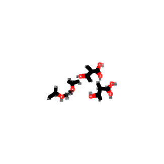 CC(=O)C(C)C(=O)[O-].CC(=O)C(C)C(=O)[O-].CC(C)[O][V+2][O]C(C)C